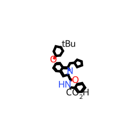 CC(C)(C)C1CCC(Oc2ccc3cc(C(=O)N[C@@H](C(=O)O)c4ccccc4)nc(CC4CCCC4)c3c2)CC1